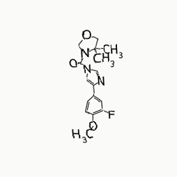 COc1ccc(-c2cn(C(=O)N3COCC3(C)C)cn2)cc1F